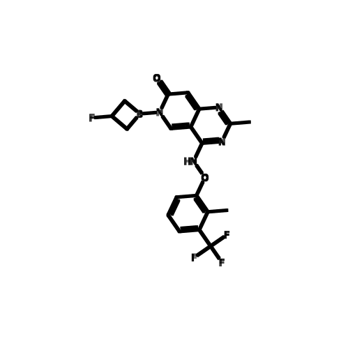 Cc1nc(NOc2cccc(C(F)(F)F)c2C)c2cn(B3CC(F)C3)c(=O)cc2n1